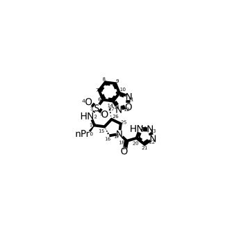 CCC[C@@H](NS(=O)(=O)c1cccc2nonc12)[C@H]1CN(C(=O)c2cnn[nH]2)C[C@H]1C